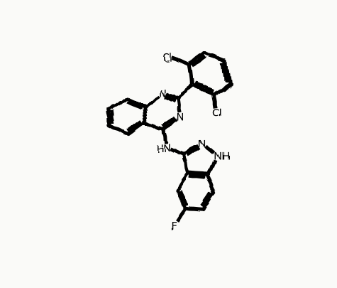 Fc1ccc2[nH]nc(Nc3nc(-c4c(Cl)cccc4Cl)nc4ccccc34)c2c1